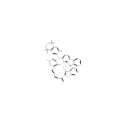 C\C=C1/C=C\C=C\C2=C3B(c4c(ccc5c4C(C)(C)c4ccccc4-5)N(c4cc5c(cc4C)C(C)(C)CCC5(C)C)C3=CC(C)C2)N(C)c2c1[nH]c1ccccc21